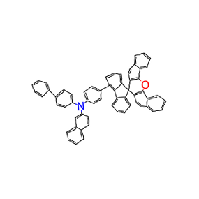 c1ccc(-c2ccc(N(c3ccc(-c4cccc5c4-c4ccccc4C54c5ccc6ccccc6c5Oc5c4ccc4ccccc54)cc3)c3ccc4ccccc4c3)cc2)cc1